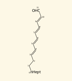 CCCCCCCCCC=CC=CC=CC=CC=O